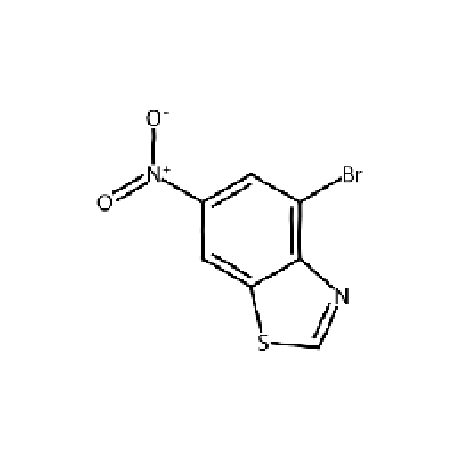 O=[N+]([O-])c1cc(Br)c2ncsc2c1